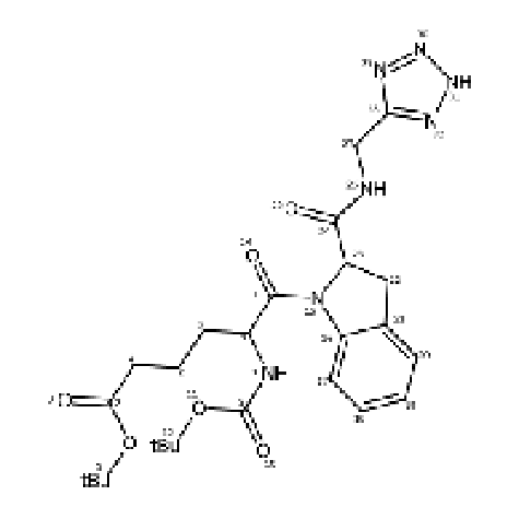 CC(C)(C)OC(=O)CCCC(NC(=O)OC(C)(C)C)C(=O)N1c2ccccc2CC1C(=O)NCc1nn[nH]n1